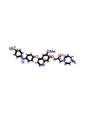 COc1cc2c(Oc3ccc(Nc4ccc(C(C)(C)C)cc4)cc3)ccnc2cc1OCC(O)CN1C=CCN(C)C=C1